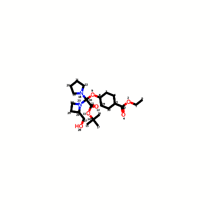 CCOC(=O)C1CCC(OC(C(=O)OC(C)(C)C)(N2CCCC2)N2CCC2CO)CC1